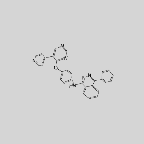 c1ccc(-c2nnc(Nc3ccc(Oc4ncncc4-c4ccncc4)cc3)c3ccccc23)cc1